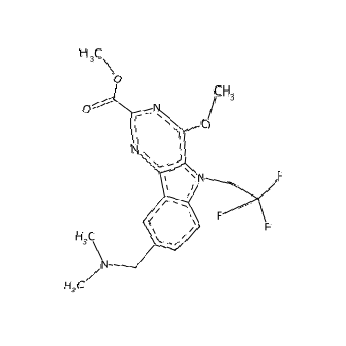 COC(=O)c1nc(OC)c2c(n1)c1cc(CN(C)C)ccc1n2CC(F)(F)F